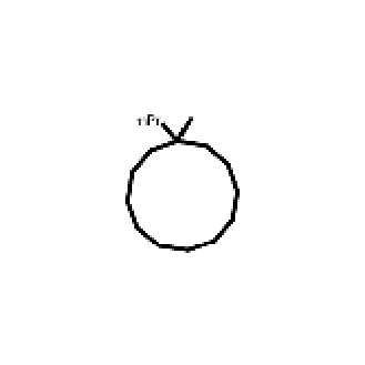 CC[CH]C1(C)CCCCCCCCCCC1